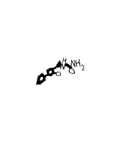 NC(=O)CNC1CC1c1ccc(-c2ccccc2)cc1Cl